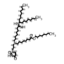 CCCCCCCCOC(=O)CCCCCCCN(CCCCCCCC(=N)NC(CCCCCCCC)CCCCCCCC)CCCn1ccc(=O)[nH]c1=O